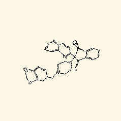 O=C1c2ccccc2C(=O)C1(c1ccc2ccccc2n1)N1CCN(Cc2ccc3c(c2)OCO3)CC1